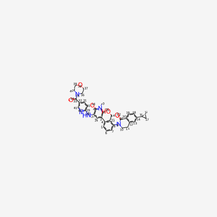 Cn1cc(-c2cccc(N3CCc4cc(C5CC5)ccc4C3=O)c2CO)cc(Nc2ccc(C(=O)N3CCOCC3)cn2)c1=O